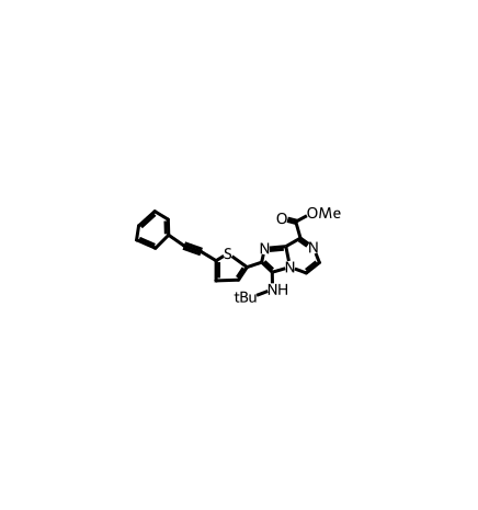 COC(=O)c1nccn2c(NC(C)(C)C)c(-c3ccc(C#Cc4ccccc4)s3)nc12